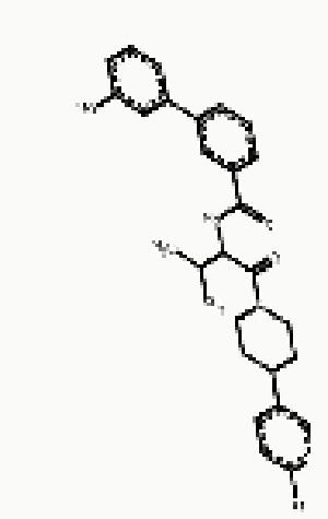 CC(C)[C@@H](NC(=O)c1cccc(-c2cccc(O)c2)c1)C(=O)N1CCC(c2ccc(Cl)cc2)CC1